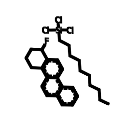 CCCCCCCCCC[Si](Cl)(Cl)Cl.FC1CCCc2c1ccc1c2ccc2ccccc21